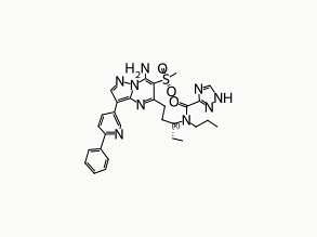 CCCN(C(=O)c1nc[nH]n1)[C@H](CC)CCc1nc2c(-c3ccc(-c4ccccc4)nc3)cnn2c(N)c1S(C)(=O)=O